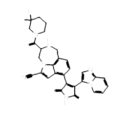 N#Cc1cc2c(C3=C(c4cnc5ccccn45)C(=O)NC3=O)ccc3c2n1CC(C(=O)N1CCCC(F)(F)C1)NC3